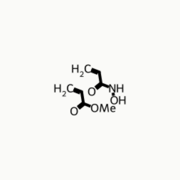 C=CC(=O)NO.C=CC(=O)OC